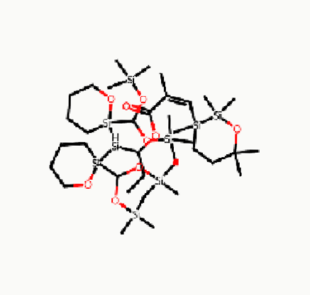 CCC(OC(=O)C(C)=C[Si]1(C)CCC(C)(C)O[Si]1(C)C)[SiH]([Si]1(C(O[Si](C)(C)C)O[Si](C)(C)C)CCCCO1)[Si]1(C(O[Si](C)(C)C)O[Si](C)(C)C)CCCCO1